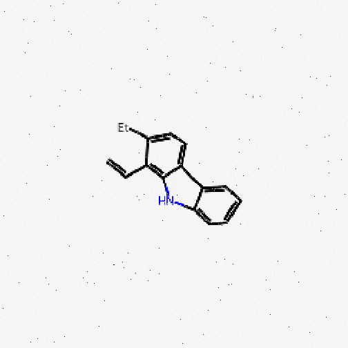 C=Cc1c(CC)ccc2c1[nH]c1ccccc12